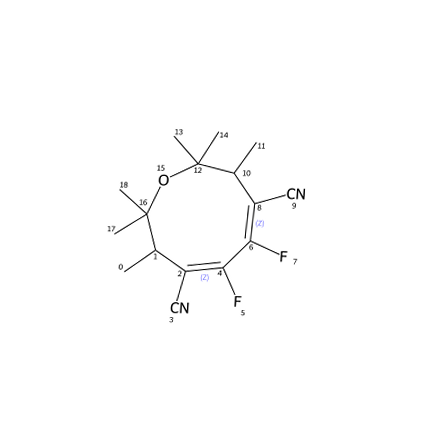 CC1/C(C#N)=C(F)\C(F)=C(\C#N)C(C)C(C)(C)OC1(C)C